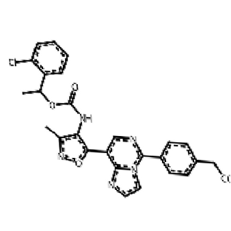 Cc1noc(-c2cnc(-c3ccc(CC(=O)O)cc3)n3ccnc23)c1NC(=O)OC(C)c1ccccc1Cl